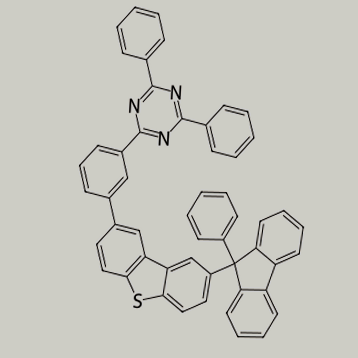 c1ccc(-c2nc(-c3ccccc3)nc(-c3cccc(-c4ccc5sc6ccc(C7(c8ccccc8)c8ccccc8-c8ccccc87)cc6c5c4)c3)n2)cc1